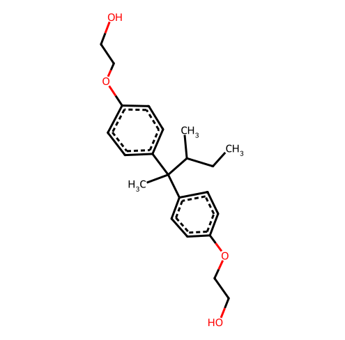 CCC(C)C(C)(c1ccc(OCCO)cc1)c1ccc(OCCO)cc1